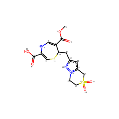 COC(=O)C1=CNC(C(=O)O)=CSC1Cc1cc2n(n1)CCS(=O)(=O)C2